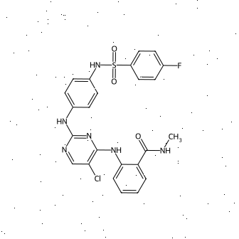 CNC(=O)c1ccccc1Nc1nc(Nc2ccc(NS(=O)(=O)c3ccc(F)cc3)cc2)ncc1Cl